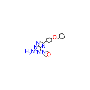 Nc1nc(N2CCOCC2)c2nc(-c3ccc(OCc4ccccc4)cc3)cnc2n1